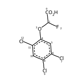 O=C(O)C(F)Oc1cc(Cl)c(Cl)cc1Cl